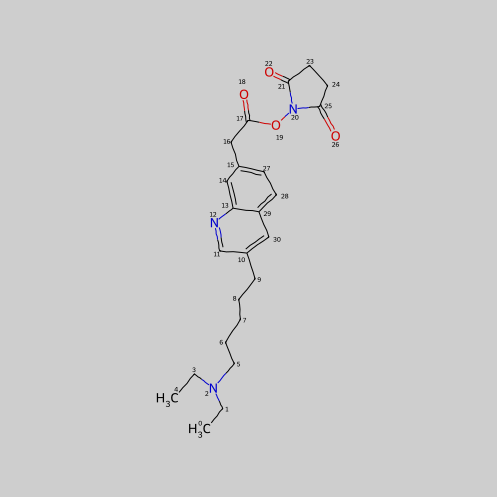 CCN(CC)CCCCCc1cnc2cc(CC(=O)ON3C(=O)CCC3=O)ccc2c1